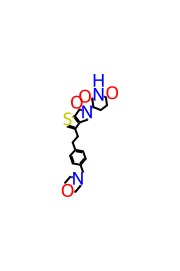 O=C1CCC(N2Cc3c(CCc4ccc(CN5CCOCC5)cc4)csc3C2=O)C(=O)N1